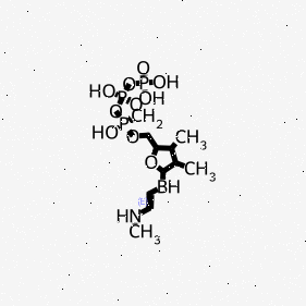 C=P(O)(OCC1OC(B/C=C/NC)C(C)C1C)OP(=O)(O)OP(=O)(O)O